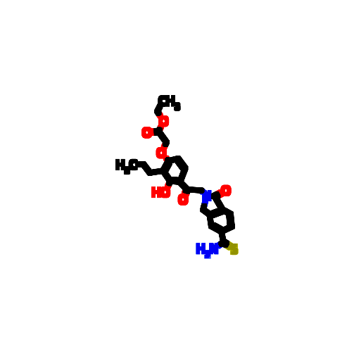 CCCc1c(OCC(=O)OCC)ccc(C(=O)CN2Cc3cc(C(N)=S)ccc3C2=O)c1O